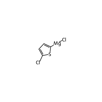 [Cl][Mg][c]1ccc(Cl)s1